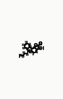 O=c1[nH]c2ccc3c(c4ccccc4n3CCCF)c2o1